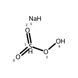 O=[SH](=O)OO.[NaH]